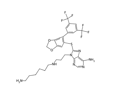 NCCCCCCNCCCn1c(Sc2cc3c(cc2-c2cc(C(F)(F)F)cc(C(F)(F)F)c2)OCO3)nc2c(N)ncnc21